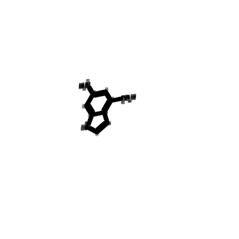 Nc1cc(C(=O)O)c2cc[nH]c2c1